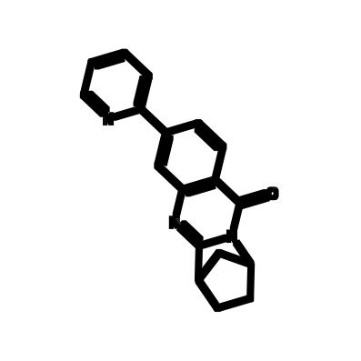 O=c1c2ccc(-c3ccccn3)cc2nc2n1C1CCC2C1